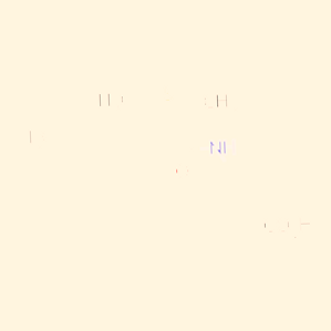 Cc1ccc(Cc2c(C)sc(C)c2C(=O)NC2CCC(C(=O)O)CC2)cc1